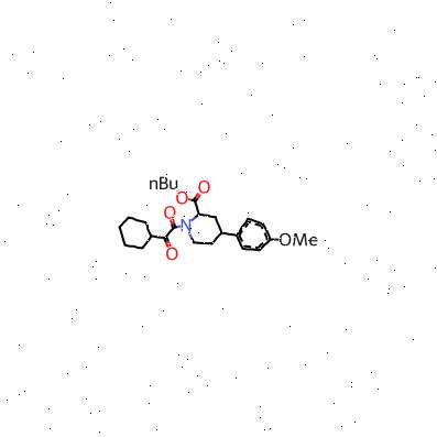 CCCCOC(=O)C1CC(c2ccc(OC)cc2)CCN1C(=O)C(=O)C1CCCCC1